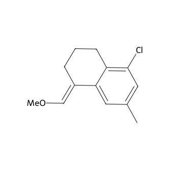 CO/C=C1\CCCc2c(Cl)cc(C)cc21